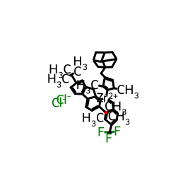 CC1=[C](/[Zr+2](=[CH]/c2ccc(C(F)(F)F)cc2)[c]2c(C(C)(C)C)ccc3c2Cc2cc(C(C)(C)C)ccc2-3)C(C)C=C1CC12CC3CC(CC(C3)C1)C2.[Cl-].[Cl-]